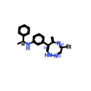 C=C1/N=C(CC)\C=N/N/C=C\1c1cccc(N[C@@H](C)c2ccccc2)c1